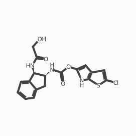 O=C(CO)N[C@@H]1c2ccccc2C[C@H]1NC(=O)Oc1cc2cc(Cl)sc2[nH]1